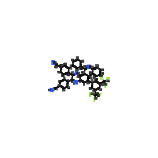 N#Cc1ccc(-c2nc3cc(-c4cc(C(F)(F)F)cc(C(F)(F)F)c4)c4c5ccccc5nc(-c5ccccc5)c4c3nc2-c2ccc(C#N)cc2)cc1